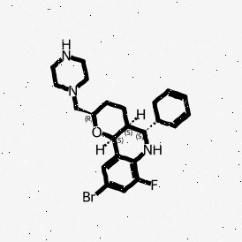 Fc1cc(Br)cc2c1N[C@@H](C1C=CC=CC1)[C@@H]1CC[C@H](CN3CCNCC3)O[C@H]21